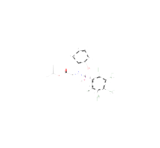 CC(C)OC(=O)CN[P@](=O)(Oc1ccccc1)c1c(F)c(F)c(F)c(F)c1F